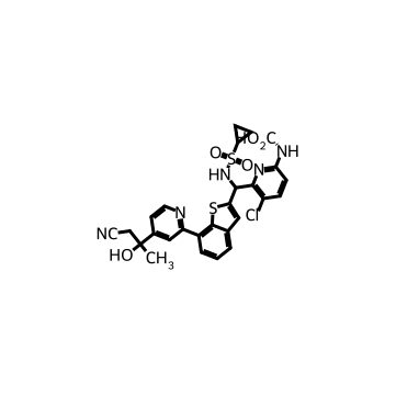 CC(O)(CC#N)c1ccnc(-c2cccc3cc(C(NS(=O)(=O)C4CC4)c4nc(NC(=O)O)ccc4Cl)sc23)c1